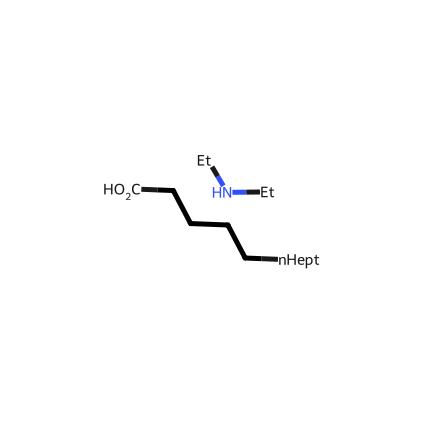 CCCCCCCCCCCC(=O)O.CCNCC